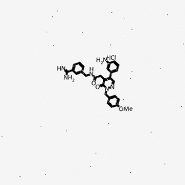 COc1ccc(Cn2ncc(-c3cccc(N)c3)c(CC(=O)NCc3cccc(C(=N)N)c3)c2=O)cc1.Cl